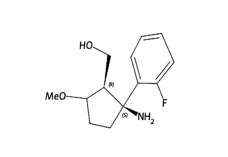 COC1CC[C@@](N)(c2ccccc2F)[C@@H]1CO